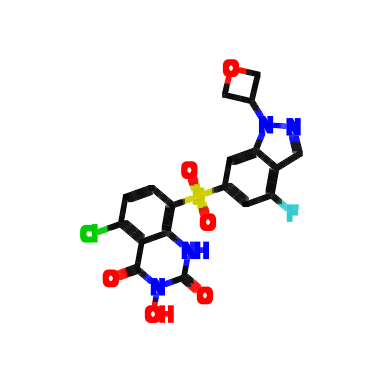 O=c1[nH]c2c(S(=O)(=O)c3cc(F)c4cnn(C5COC5)c4c3)ccc(Cl)c2c(=O)n1O